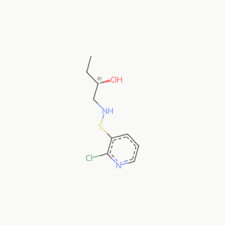 CC[C@@H](O)CNSc1cccnc1Cl